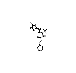 CC(C)(C)C(NC(=O)CCc1ccccc1)C(=O)Nc1n[nH]c(=S)s1